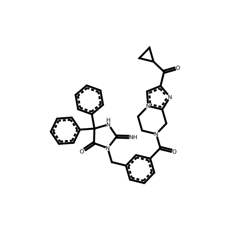 N=C1NC(c2ccccc2)(c2ccccc2)C(=O)N1Cc1cccc(C(=O)N2CCn3cc(C(=O)C4CC4)nc3C2)c1